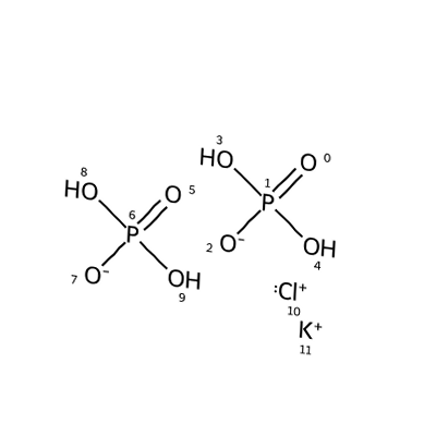 O=P([O-])(O)O.O=P([O-])(O)O.[Cl+].[K+]